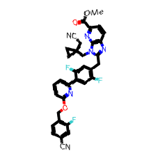 COC(=O)c1ccc2nc(Cc3cc(F)c(-c4cccc(OCc5ccc(C#N)cc5F)n4)cc3F)n(CC3(CC#N)CC3)c2n1